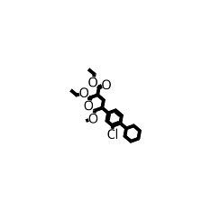 CCOC(=O)C(CC(COC)c1ccc(C2CCCCC2)c(Cl)c1)C(=O)OCC